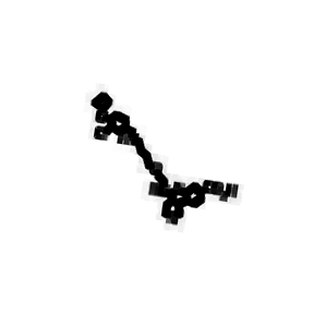 O=C(O)c1ccc2c(c1)nc(NCCOCCCCNCc1ccc(OC3CCC3)c(Cl)c1)c1ccncc12